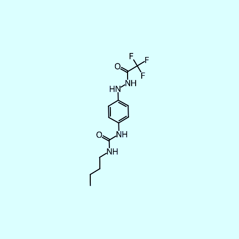 CCCCNC(=O)Nc1ccc(NNC(=O)C(F)(F)F)cc1